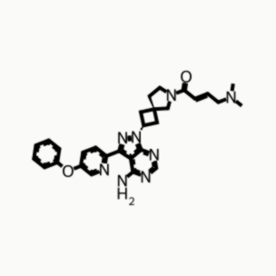 CN(C)C/C=C/C(=O)N1CC[C@]2(C1)C[C@@H](n1nc(-c3ccc(Oc4ccccc4)cn3)c3c(N)ncnc31)C2